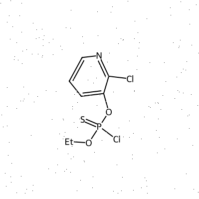 CCOP(=S)(Cl)Oc1cccnc1Cl